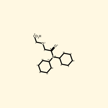 O=C(O)COCC(=O)N(C1CCCCC1)C1CCCCC1